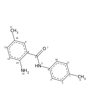 Cc1ccc(NC(=O)c2cc(C)ccc2N)cc1